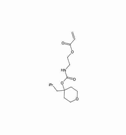 C=CC(=O)OCCNC(=O)OC1(CC(C)C)CCOCC1